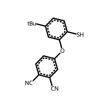 CC(C)(C)c1ccc(S)c(Oc2ccc(C#N)c(C#N)c2)c1